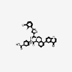 O=C(O)c1ccc(NC(=O)C2c3cccc(-c4ccc5occc(=O)c5c4)c3CCN2C(=O)c2cn(-c3cccc(Cl)c3F)nn2)cc1